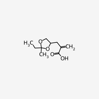 C=C(CC1COC(C)(CC)O1)C(=O)O